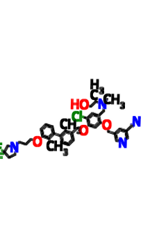 Cc1c(COc2cc(OCc3cncc(C#N)c3)c(CN(C)C(C)CO)cc2Cl)cccc1-c1cccc(OCCCN2CCC(F)(F)C2)c1C